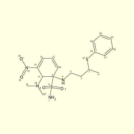 CC(CCNC1(S(N)(=O)=O)C=CC=C([N+](=O)[O-])C1N(C)C)Sc1ccccc1